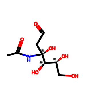 CC(=O)N[C@@](O)(CC=O)[C@H](O)[C@H](O)CO